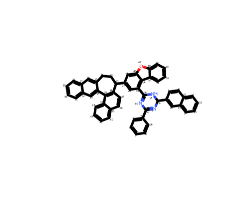 c1ccc(C2=NC(c3ccc4ccccc4c3)NC(c3cc(C4CCc5cc6ccccc6cc5-c5c4ccc4ccccc54)cc4oc5ccccc5c34)=N2)cc1